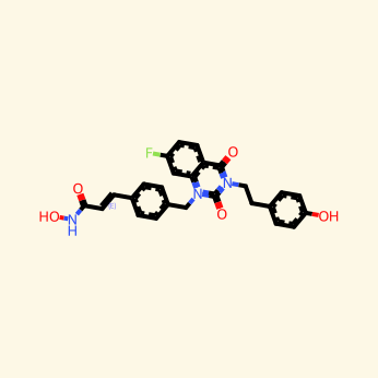 O=C(/C=C/c1ccc(Cn2c(=O)n(CCc3ccc(O)cc3)c(=O)c3ccc(F)cc32)cc1)NO